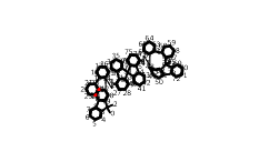 CC1(C)c2ccccc2-c2ccc(N(c3ccccc3-c3ccccc3)c3cccc4c3-c3ccccc3C43c4ccccc4-c4c(N5c6ccc7c(c6)C(C)(c6ccccc6-c6ccccc65)c5ccccc5-7)cccc43)cc21